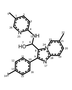 Cc1ccc(NC(O)c2c(-c3ccc(I)cc3)nc3ccc(C)cn23)nc1